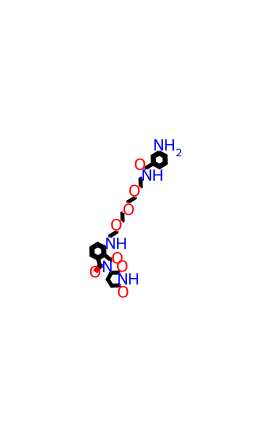 Nc1cccc(C(=O)NCCOCCOCCOCCNc2cccc3c2C(=O)N(C2CCC(=O)NC2=O)C3=O)c1